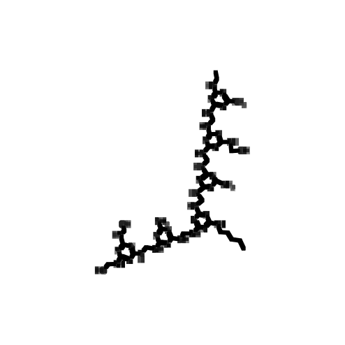 CCCCCNc1nc(NCNc2nc(N)nc(NCNc3nc(NCO)nc(NCO)n3)n2)nc(NCNc2nc(N)nc(NCNc3nc(NCO)nc(NCNc4nc(N)nc(NCC)n4)n3)n2)n1